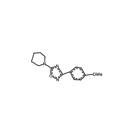 COc1ccc(-c2noc(N3CCCCC3)n2)cc1